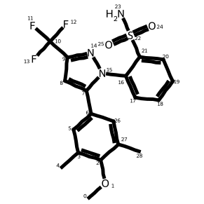 COc1c(C)cc(-c2cc(C(F)(F)F)nn2-c2ccccc2S(N)(=O)=O)cc1C